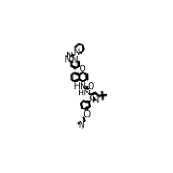 CN(C)CCOc1cccc(-n2nc(C(C)(C)C)cc2NC(=O)N[C@H]2CC[C@@H](Oc3ccc4nnc(N5CCCCC5)n4c3)c3ccccc32)c1